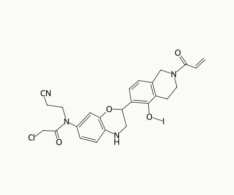 C=CC(=O)N1CCc2c(ccc(C3CNc4ccc(N(CCC#N)C(=O)CCl)cc4O3)c2OI)C1